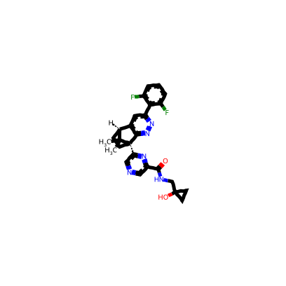 CC1(C)[C@H]2CC[C@]1(c1cncc(C(=O)NCC3(O)CC3)n1)c1nnc(-c3c(F)cccc3F)cc12